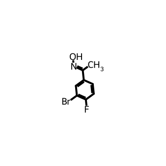 CC(=NO)c1ccc(F)c(Br)c1